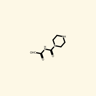 O=CC(=O)NC(=O)N1CCNCC1